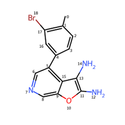 Cc1ccc(-c2cncc3oc(N)c(N)c23)cc1Br